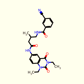 CCn1c(=O)c2cc(NC(=O)CC(C)CNC(=O)c3cccc(C#N)c3)ccc2n(CC)c1=O